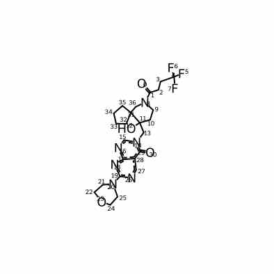 O=C(CCC(F)(F)F)N1CCC(O)(Cn2cnc3nc(N4CCOCC4)ncc3c2=O)C2(CCCC2)C1